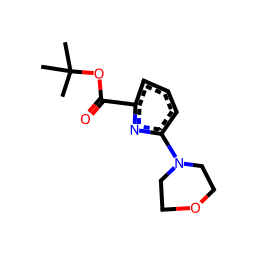 CC(C)(C)OC(=O)c1cccc(N2CCOCC2)n1